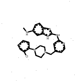 CNc1ccc2nc(Nc3cc(CN4CCN(c5ccccc5Cl)CC4)ccn3)[nH]c2c1